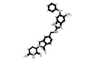 Cc1cc2nc(NCc3ccc4c(c3)CN(C3CCC(=O)NC3=O)C4=O)[nH]c2cc1Oc1ccccc1